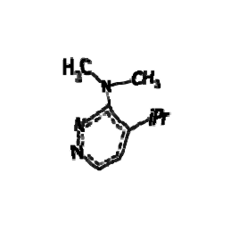 CC(C)c1ccnnc1N(C)C